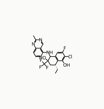 CC[C@@H]1C[C@](O)(C(F)(F)F)C(Nc2cccc3nc(C)ncc23)c2cc(F)c(Cl)c(O)c21